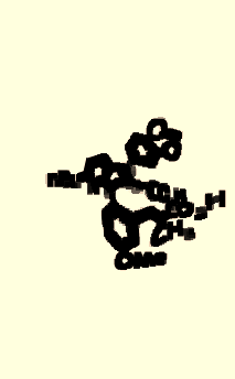 CCCCc1ccc2c(n1)[C@@H](c1ccc(OC)cc1CC(C)C(=O)O)[C@H](C(=O)O)[C@H]2c1ccc2c(c1)OCO2